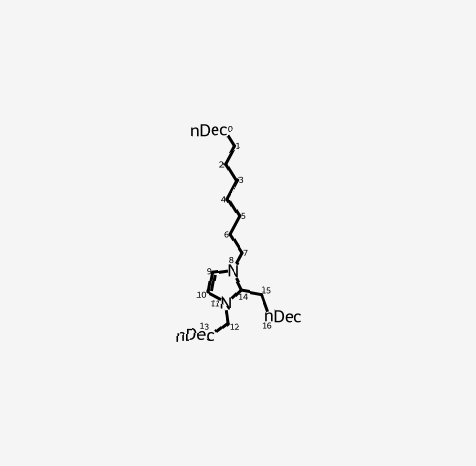 CCCCCCCCCCCCCCCCCN1C=CN(CCCCCCCCCCC)C1CCCCCCCCCCC